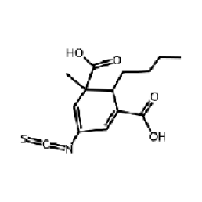 CCCCC1C(C(=O)O)=CC(N=C=S)=CC1(C)C(=O)O